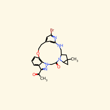 CC(=O)c1nn2c3c(cccc13)OCCc1cc(Br)nc(c1)NCC1CC3(C)CC3N1C(=O)C2